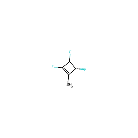 BC1=C(F)C(F)[C@H]1F